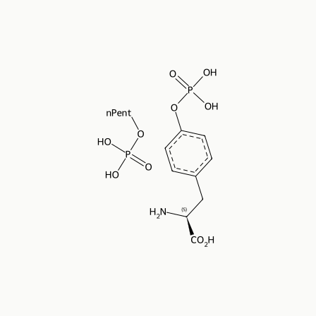 CCCCCOP(=O)(O)O.N[C@@H](Cc1ccc(OP(=O)(O)O)cc1)C(=O)O